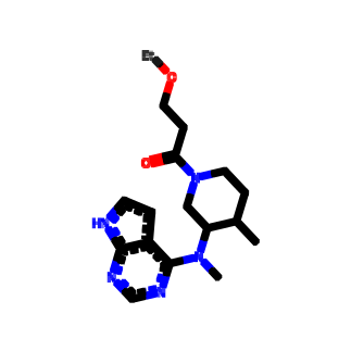 CCOCCC(=O)N1CCC(C)C(N(C)c2ncnc3[nH]ccc23)C1